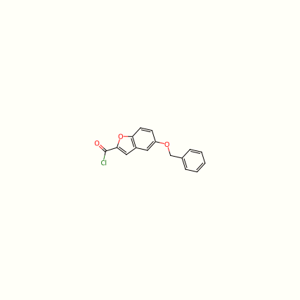 O=C(Cl)c1cc2cc(OCc3ccccc3)ccc2o1